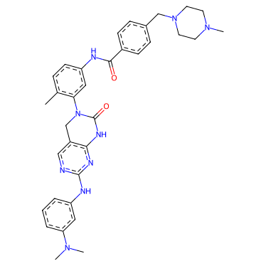 Cc1ccc(NC(=O)c2ccc(CN3CCN(C)CC3)cc2)cc1N1Cc2cnc(Nc3cccc(N(C)C)c3)nc2NC1=O